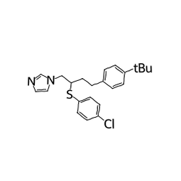 CC(C)(C)c1ccc(CCC(Cn2ccnc2)Sc2ccc(Cl)cc2)cc1